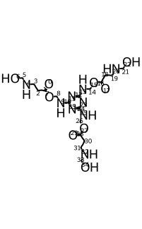 O=C(CCNCO)OCNc1nc(NCOC(=O)CCNCO)nc(NCOC(=O)CCNCO)n1